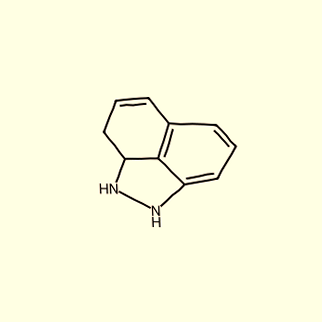 C1=Cc2cccc3c2C(C1)NN3